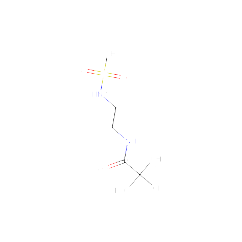 CC(C)(C)C(=O)NCCNS(C)(=O)=O